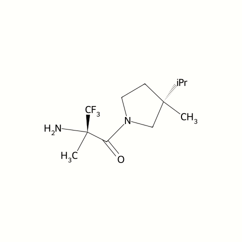 CC(C)[C@@]1(C)CCN(C(=O)[C@](C)(N)C(F)(F)F)C1